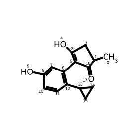 CC1CC(O)=C(c2cc(O)ccc2C2CC2)C1=O